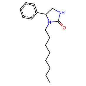 CCCCCCCCN1C(=O)NCC1c1ccccc1